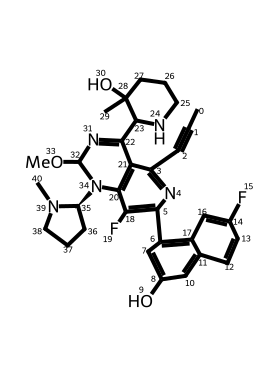 CC#Cc1nc(-c2cc(O)cc3ccc(F)cc23)c(F)c2c1C(C1NCCCC1(C)O)=NC(OC)N2[C@H]1CCCN1C